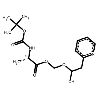 C[C@H](NC(=O)OC(C)(C)C)C(=O)OCOC(O)Cc1ccccn1